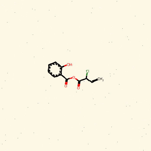 C=CC(Cl)C(=O)OC(=O)c1ccccc1O